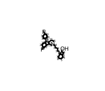 Oc1cc2ccccc2n1CCCCN1CCC2C(C1)c1cc(F)ccc1N2c1ccc(F)cc1